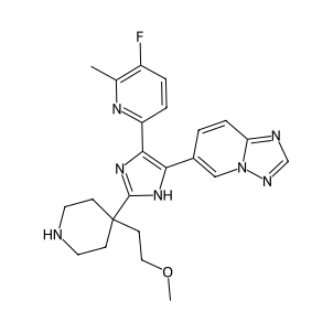 COCCC1(c2nc(-c3ccc(F)c(C)n3)c(-c3ccc4ncnn4c3)[nH]2)CCNCC1